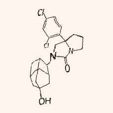 O=C1N(C2C3CC4CC2CC(O)(C4)C3)CC2(c3ccc(Cl)cc3Cl)CCCN12